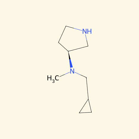 CN(CC1CC1)[C@H]1CCNC1